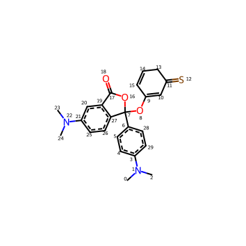 CN(C)c1ccc(C2(OC3=CC(=S)CC=C3)OC(=O)c3cc(N(C)C)ccc32)cc1